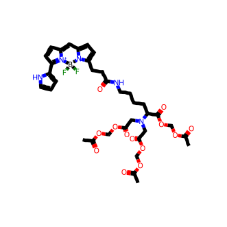 CC(=O)OCOC(=O)CN(CC(=O)OCOC(C)=O)C(CCCCNC(=O)CCc1ccc2n1[B-](F)(F)[N+]1=C(c3ccc[nH]3)C=CC1=C2)C(=O)OCOC(C)=O